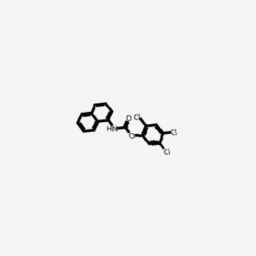 O=C(Nc1cccc2ccccc12)Oc1cc(Cl)c(Cl)cc1Cl